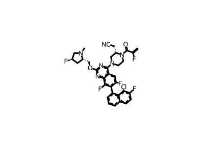 C=C(F)C(=O)N1CCN(c2nc(OC[C@@H]3C[C@@H](F)CN3C)nc3c(F)c(-c4cccc5ccc(F)c(Cl)c45)c(F)cc23)C[C@@H]1CC#N